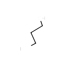 CCC[CH2][Hf+3]